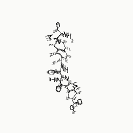 COC(=O)C1Cc2sc3nc(C(=O)NCc4ccc5c(c4)CN(C(C=O)C(N)C=O)CC5)[nH]c(=O)c3c2C1